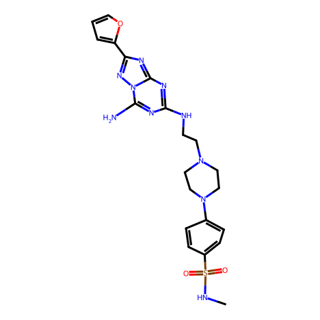 CNS(=O)(=O)c1ccc(N2CCN(CCNc3nc(N)n4nc(-c5ccco5)nc4n3)CC2)cc1